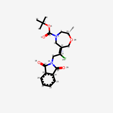 C[C@H]1CN(C(=O)OC(C)(C)C)C/C(=C(/F)CN2C(=O)c3ccccc3C2=O)CO1